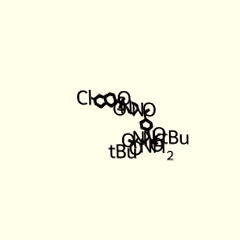 CC(C)(C)OC(=O)N=C(N)N(C(=O)OC(C)(C)C)c1ccc(C(=O)N2CCN(S(=O)(=O)c3ccc4cc(Cl)ccc4c3)CC2)cc1